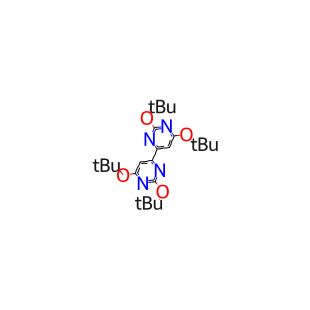 CC(C)(C)Oc1cc(-c2cc(OC(C)(C)C)nc(OC(C)(C)C)n2)nc(OC(C)(C)C)n1